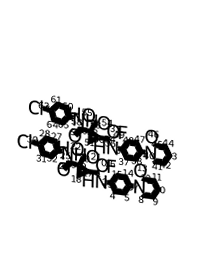 O=C(Nc1ccc(-n2ccccc2=O)cc1F)C1CC1(C(=O)O)C(=O)Nc1ccc(Cl)cc1.O=C(Nc1ccc(-n2ccccc2=O)cc1F)C1CC1(C(=O)O)C(=O)Nc1ccc(Cl)cc1